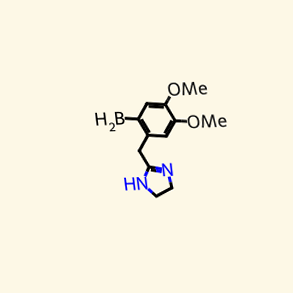 Bc1cc(OC)c(OC)cc1CC1=NCCN1